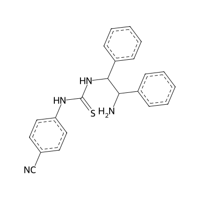 N#Cc1ccc(NC(=S)NC(c2ccccc2)C(N)c2ccccc2)cc1